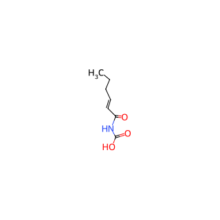 CCCC=CC(=O)NC(=O)O